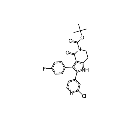 CC(C)(C)OC(=O)N1CCc2[nH]c(-c3ccnc(Cl)c3)c(-c3ccc(F)cc3)c2C1=O